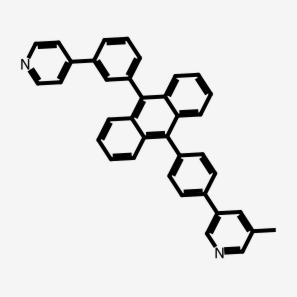 Cc1cncc(-c2ccc(-c3c4ccccc4c(-c4cccc(-c5ccncc5)c4)c4ccccc34)cc2)c1